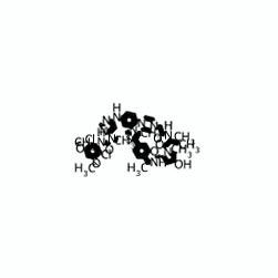 COc1cc(OC)c(Cl)c(NC(=O)N(C)c2cc(Nc3ccc(N4CCN(CC(=O)N[C@H](C(=O)N5C[C@H](O)C[C@H]5C(=O)N[C@H](C)c5ccc(-c6scnc6C)cc5)C(C)(C)C)CC4)cc3)ncn2)c1Cl